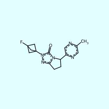 Cc1cnc(C2CCc3nn(C45CC(F)(C4)C5)c(=O)n32)cn1